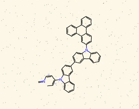 C=N/C=C\C(=C/C)n1c2ccccc2c2cc(-c3ccc4c(c3)c3ccccc3n4-c3ccc4c5ccccc5c5ccccc5c4c3)ccc21